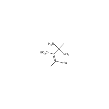 CC(=C(C(=O)O)C(C)([SiH3])[SiH3])C(C)(C)C